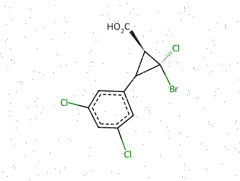 O=C(O)[C@@H]1C(c2cc(Cl)cc(Cl)c2)[C@]1(Cl)Br